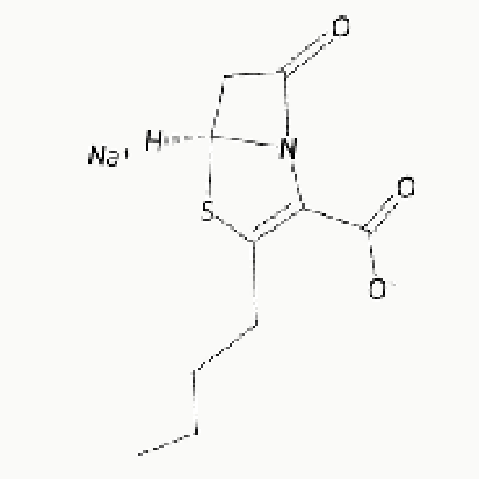 CCCCC1=C(C(=O)[O-])N2C(=O)C[C@@H]2S1.[Na+]